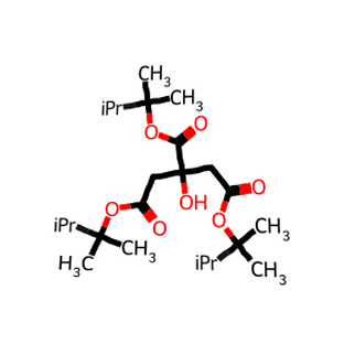 CC(C)C(C)(C)OC(=O)CC(O)(CC(=O)OC(C)(C)C(C)C)C(=O)OC(C)(C)C(C)C